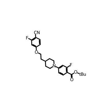 CC(C)(C)OC(=O)c1ccc(N2CCC(CCOc3ccc(C#N)c(F)c3)CC2)cc1F